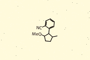 COC1CCC(C)C1c1ccccc1C#N